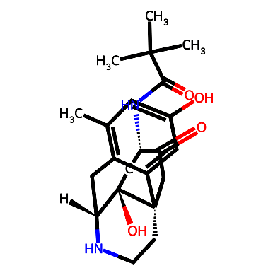 Cc1cc(O)cc2c1C[C@H]1NCC[C@@]23CC(=O)[C@@H](NC(=O)C(C)(C)C)C[C@@]13O